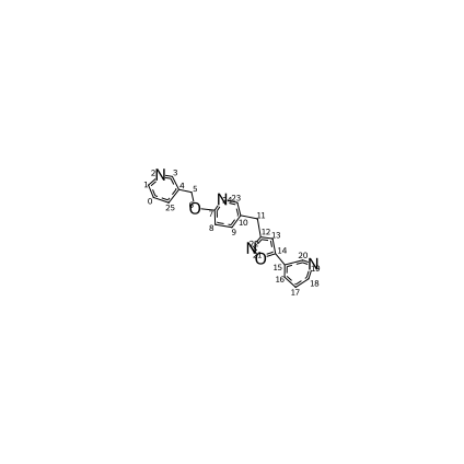 c1cncc(COc2ccc(Cc3cc(-c4cccnc4)on3)cn2)c1